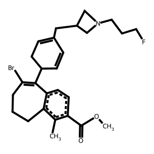 COC(=O)c1ccc2c(c1C)CCCC(Br)=C2C1C=CC(CC2CN(CCCF)C2)=CC1